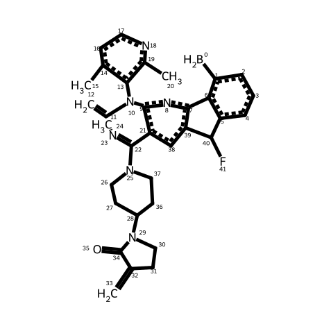 Bc1cccc2c1-c1nc(N(C=C)c3c(C)ccnc3C)c(/C(=N\C)N3CCC(N4CCC(=C)C4=O)CC3)cc1C2F